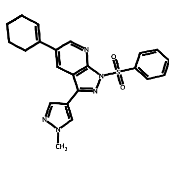 Cn1cc(-c2nn(S(=O)(=O)c3ccccc3)c3ncc(C4=CCCCC4)cc23)cn1